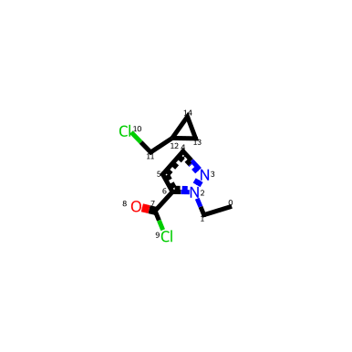 CCn1nccc1C(=O)Cl.ClCC1CC1